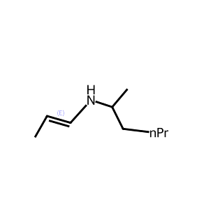 C/C=C/NC(C)CCCC